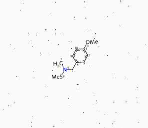 COc1ccc(CN(C)SC)cc1